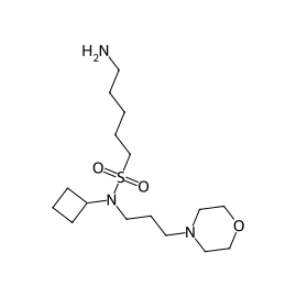 NCCCCCS(=O)(=O)N(CCCN1CCOCC1)C1CCC1